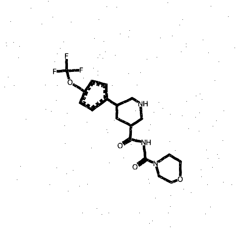 O=C(NC(=O)N1CCOCC1)C1CNCC(c2ccc(OC(F)(F)F)cc2)C1